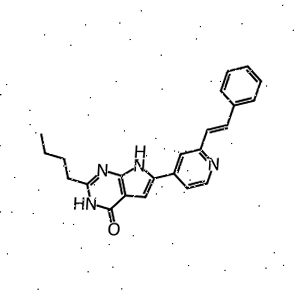 CCCCc1nc2[nH]c(-c3ccnc(C=Cc4ccccc4)c3)cc2c(=O)[nH]1